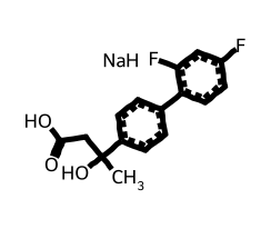 CC(O)(CC(=O)O)c1ccc(-c2ccc(F)cc2F)cc1.[NaH]